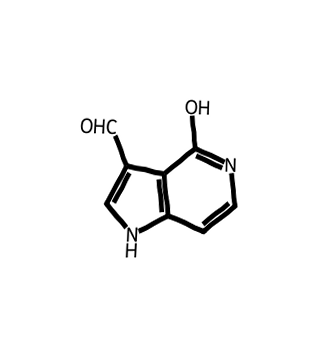 O=Cc1c[nH]c2ccnc(O)c12